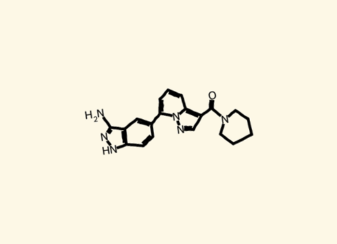 Nc1n[nH]c2ccc(-c3cccc4c(C(=O)N5CCCCC5)cnn34)cc12